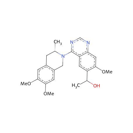 COc1cc2c(cc1OC)CN(c1ncnc3cc(OC)c(C(C)O)cc13)[C@@H](C)C2